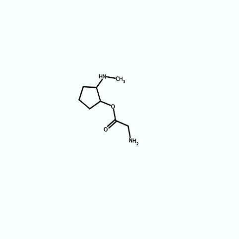 CNC1CCCC1OC(=O)CN